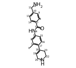 Cc1cc(NC(=O)c2ccc(CN)cc2)ccc1C1=CCNCC1